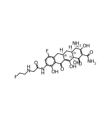 NC(=O)C1=C(O)[C@@H](N)[C@@H]2C[C@@H]3Cc4c(F)cc(NC(=O)CNCCF)c(O)c4C(=O)C3=C(O)[C@]2(O)C1=O